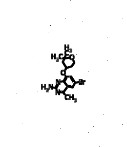 Cc1nc(N)nc2c(OC3CCOC(C)(C)C3)cc(Br)cc12